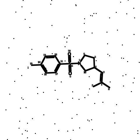 CC(C)=CC1CCN(S(=O)(=O)c2ccc(C)cc2)C1